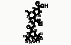 CCC[C@H]1CN(CC(=O)c2cc(C(C)(C)C)c(O)c(C(C)(C)C)c2)/C(=N\Cl)[C@@H]1c1ccc(C(=O)O)cc1